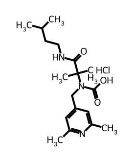 Cc1cc(CN(C(=O)O)C(C)(C)C(=O)NCCC(C)C)cc(C)n1.Cl